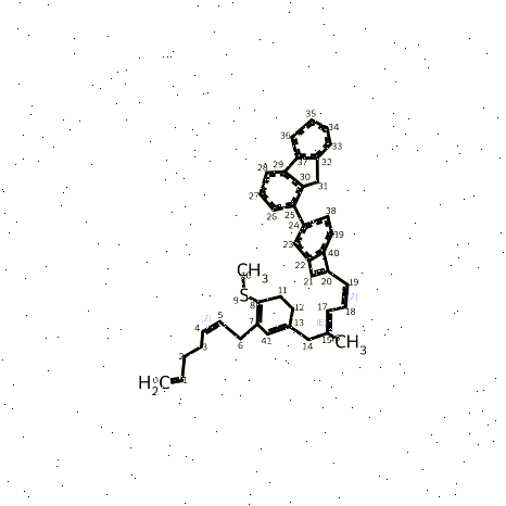 C=CCC/C=C\CC1=C(SC)CCC(C/C(C)=C/C=C\C2=Cc3cc(-c4cccc5c4Cc4ccccc4-5)ccc32)=C1